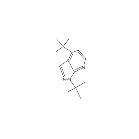 CC(C)(C)c1ccnc2c1cnn2C(C)(C)C